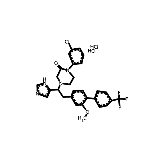 COc1cc(CC(c2cnc[nH]2)N2CCN(c3cccc(Cl)c3)C(=O)C2)ccc1-c1ccc(C(F)(F)F)cc1.Cl.Cl